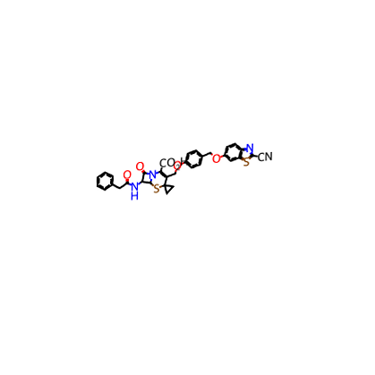 N#Cc1nc2ccc(OCc3ccc(OCC4=C(C(=O)O)N5C(=O)C(NC(=O)Cc6ccccc6)C5SC45CC5)cc3)cc2s1